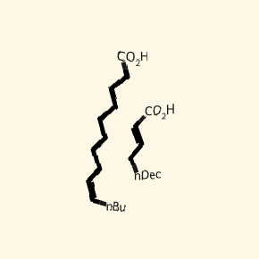 CCCC/C=C\CCCCCCCC(=O)O.CCCCCCCCCCCC=CC(=O)O